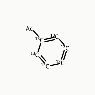 CC(=O)[13c]1[13cH][13cH][13cH][13cH][13cH]1